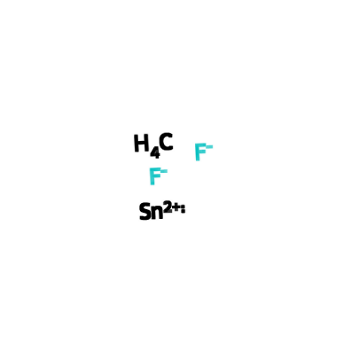 C.[F-].[F-].[Sn+2]